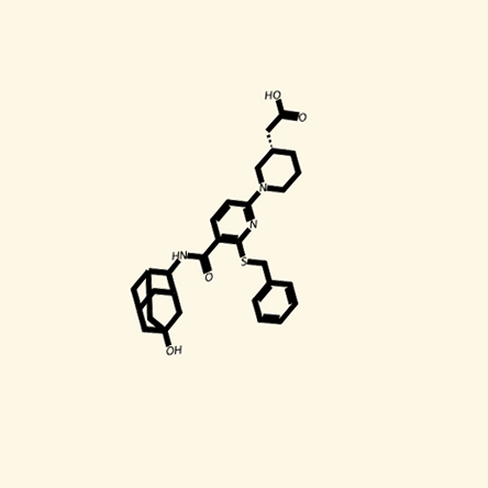 O=C(O)C[C@@H]1CCCN(c2ccc(C(=O)NC3C4CC5CC3CC(O)(C5)C4)c(SCc3ccccc3)n2)C1